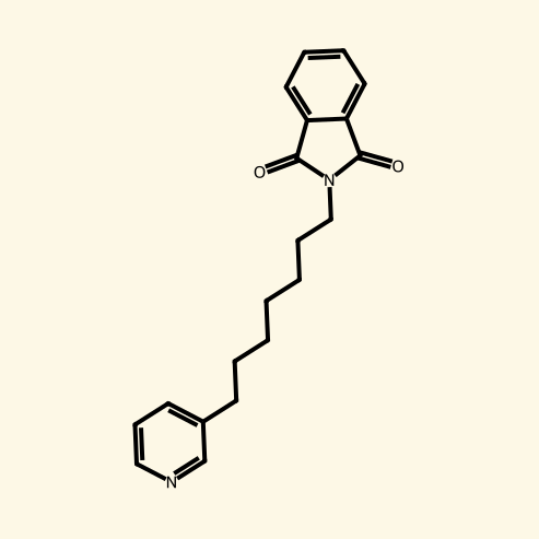 O=C1c2ccccc2C(=O)N1CCCCCCCc1cccnc1